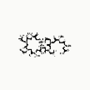 CC[C@@H](C)NCC(=O)N(CC(=O)N(CC(=O)N(CC(=O)N(CC(=O)N(CC(=O)N(CC(=O)N(CC(=O)N(CC(=O)N(CC(N)=O)[C@H](C)CC)[C@H](C)CC)C[C@H](C)O)C[C@@H](C)O)[C@H](C)CC)[C@H](C)CC)C[C@H](C)O)C[C@@H](C)O)[C@H](C)CC